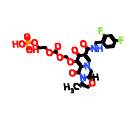 C[C@H]1CO[C@@H]2Cn3cc(C(=O)NCc4ccc(F)cc4F)c(=O)c(OCOC(=O)OCCOP(=O)(O)O)c3C(=O)N12